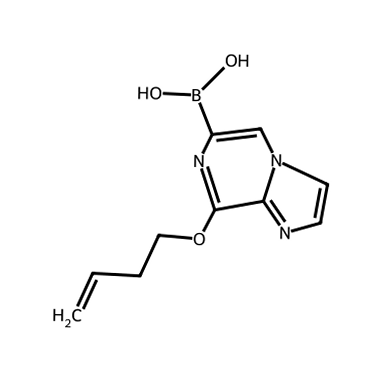 C=CCCOc1nc(B(O)O)cn2ccnc12